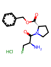 Cl.N[C@@H](CF)C(=O)N1CCC[C@H]1C(=O)OCc1ccccc1